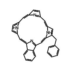 C1=Cc2cc3cc(Cc4ccccc4)c(cc4nc(cc5ccc(cc1n2)[nH]5)-c1ccccc1-4)[nH]3